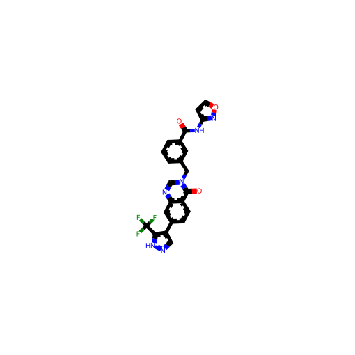 O=C(Nc1ccon1)c1cccc(Cn2cnc3cc(-c4cn[nH]c4C(F)(F)F)ccc3c2=O)c1